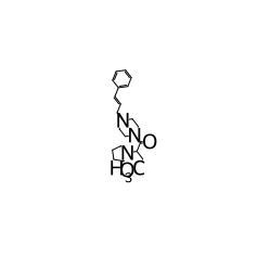 CCC(C(=O)N1CCN(CC=Cc2ccccc2)CC1)N1CCCC1=O